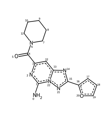 Nc1nc(C(=O)N2CCCCC2)cc2nc(-c3ccco3)nn12